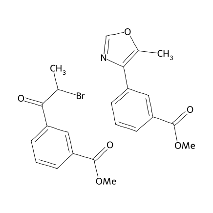 COC(=O)c1cccc(-c2ncoc2C)c1.COC(=O)c1cccc(C(=O)C(C)Br)c1